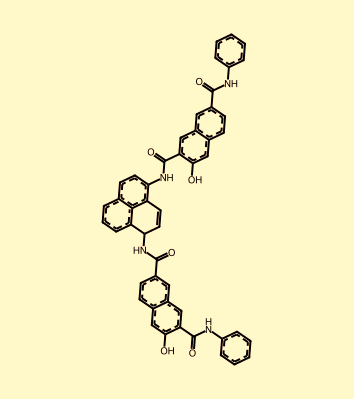 O=C(Nc1ccccc1)c1ccc2cc(O)c(C(=O)Nc3ccc4cccc5c4c3C=CC5NC(=O)c3ccc4cc(O)c(C(=O)Nc5ccccc5)cc4c3)cc2c1